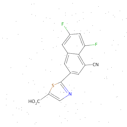 N#Cc1cc(-c2ncc(C(=O)O)s2)cc2cc(F)cc(F)c12